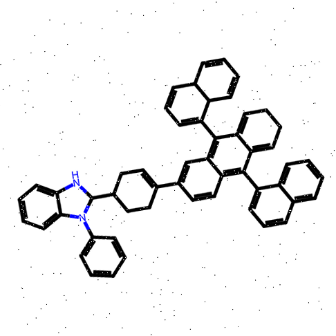 C1=CC2C=CC=C(c3c4c(c(-c5cccc6ccccc56)c5ccc(C6=CCC(C7Nc8ccccc8N7c7ccccc7)CC6)cc35)=CCCC=4)C2C=C1